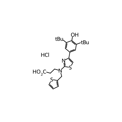 CC(C)(C)c1cc(-c2csc(N(CCC(=O)O)Cc3cccs3)n2)cc(C(C)(C)C)c1O.Cl